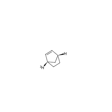 [2H][C@]12C=C[C@H](CC1)C2